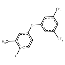 Cc1cc(Oc2cc(C(F)(F)F)cc(C(F)(F)F)c2)cc[n+]1[O-]